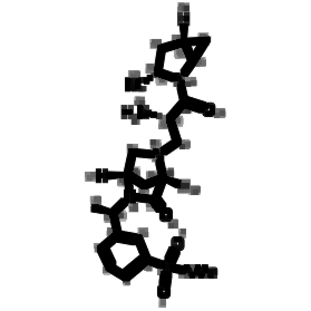 CNS(=O)(=O)c1cccc([C@@H](C)N2C(=O)[C@@H]3C[C@H]2CN3C[C@H](N)C(=O)N2C3C[C@H]3C[C@H]2C#N)c1